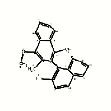 COc1c(C)c(-c2c(O)ccc3ccccc23)c(O)c2ccccc12